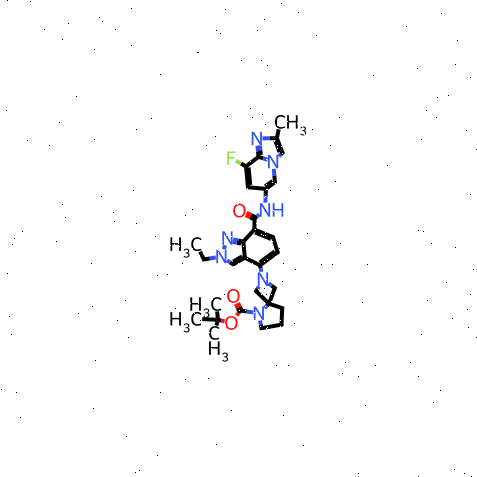 CCn1cc2c(N3CC4(CCCN4C(=O)OC(C)(C)C)C3)ccc(C(=O)Nc3cc(F)c4nc(C)cn4c3)c2n1